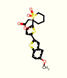 COc1ccc2sc(-c3ccc([C@@]4(CC(=O)O)CCCCS4(=O)=O)s3)cc2c1